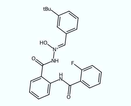 CC(C)(C)c1cccc(C=[N+](O)NC(=O)c2ccccc2NC(=O)c2ccccc2F)c1